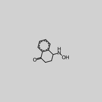 O=C1CCC(NO)c2ccccc21